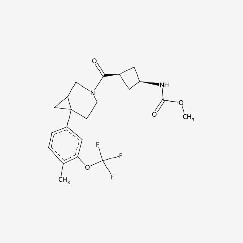 COC(=O)N[C@H]1C[C@@H](C(=O)N2CCC3(c4ccc(C)c(OC(F)(F)F)c4)CC3C2)C1